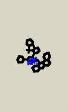 CC1(C)c2ccccc2-c2cccc(/C(=C/C(N)c3ccccc3)NCc3c4ccccc4cc4ccc5ccccc5c34)c21